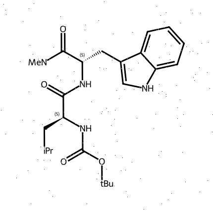 CNC(=O)[C@H](Cc1c[nH]c2ccccc12)NC(=O)[C@H](CC(C)C)NC(=O)OC(C)(C)C